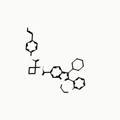 O=C(O)C=Cc1ccc(NC(=O)C2(NC(=O)c3ccc4c(C5CCCCC5)c5n(c4c3)CCOc3ccccc3-5)CCC2)cc1